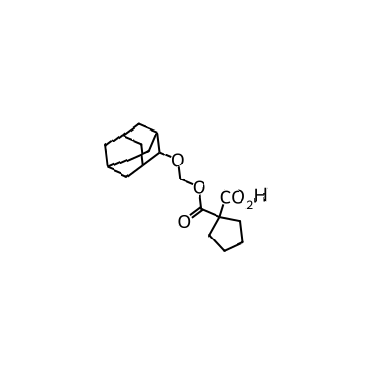 O=C(O)C1(C(=O)OCOC2C3CC4CC(C3)CC2C4)CCCC1